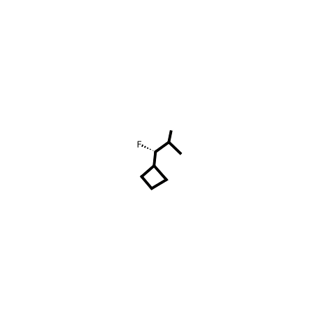 CC(C)[C@@H](F)C1CCC1